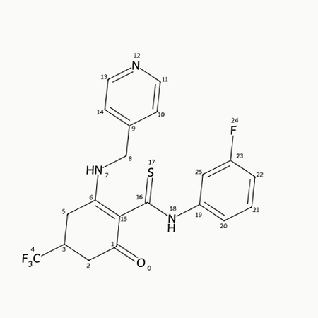 O=C1CC(C(F)(F)F)CC(NCc2ccncc2)=C1C(=S)Nc1cccc(F)c1